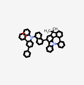 CC1(C)c2cccc3c2-c2c1cc(-c1cccc4c(N(c5ccccc5)c5ccc(-c6ccccc6)cc5-c5ccccc5)cccc14)c1c4ccccc4n(c21)-c1ccccc1-3